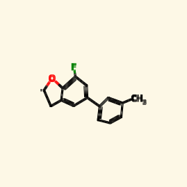 Cc1cccc(-c2cc(F)c3c(c2)C[CH]O3)c1